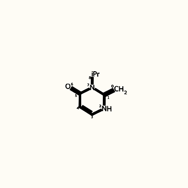 C=C1NC=CC(=O)N1C(C)C